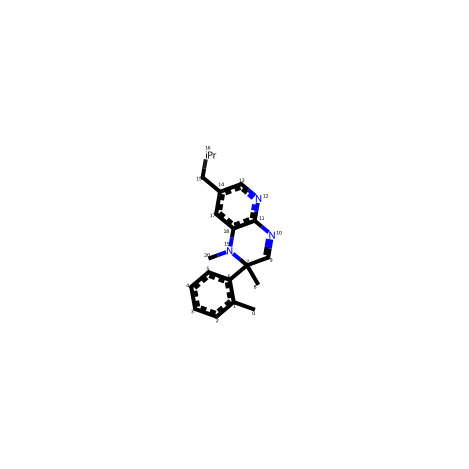 Cc1ccccc1C1(C)C=Nc2ncc(CC(C)C)cc2N1C